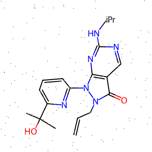 C=CCn1c(=O)c2cnc(NC(C)C)nc2n1-c1cccc(C(C)(C)O)n1